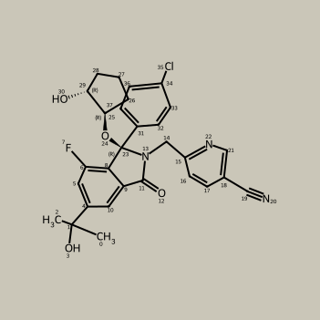 CC(C)(O)c1cc(F)c2c(c1)C(=O)N(Cc1ccc(C#N)cn1)[C@@]2(O[C@@H]1CCC[C@H]1O)c1ccc(Cl)cc1